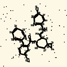 O=C(c1cc(Cl)ccc1-c1ncccn1)N1CCC2(CC2)CC1CNc1ccc(Cl)cn1